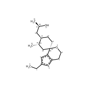 CCc1cc2c(s1)CCO[C@@]21CCN(C[C@@H](C)O)[C@@H](C)C1